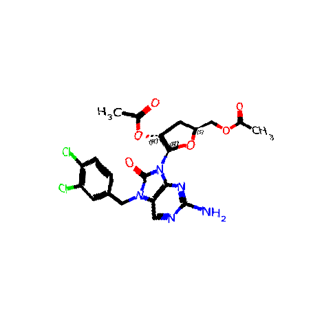 CC(=O)OC[C@@H]1C[C@@H](OC(C)=O)[C@H](n2c(=O)n(Cc3ccc(Cl)c(Cl)c3)c3cnc(N)nc32)O1